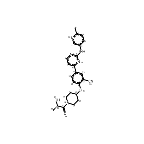 Cc1ccc(Nc2nccc(-c3ccc(OC4CCN(C(=O)[C@@H](C)O)CC4)c(C#N)c3)n2)cn1